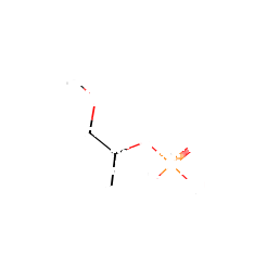 CCCOCC(C)OP(=O)(O)O